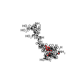 NC(=O)C[C@H](NC(=O)[C@H](CO)NC(=O)[C@H](CC(=O)O)NC(=O)[C@H](CO)NC(=O)CNC(=O)[C@H](CO)NC(=O)CNC(=O)[C@H](CC(=O)O)NC(=O)[C@H](CC(N)=O)NC(=O)[C@H](CO)NC(=O)[C@H](CC(=O)O)NC(=O)[C@H](CO)NC(=O)[C@H](CC(=O)O)NC(=O)[C@H](CC(N)=O)NC(=O)[C@H](CO)NC(=O)[C@H](CC(=O)O)NC(=O)[C@H](CO)NC(=O)CNC(=O)[C@@H](N)CO)C(=O)N[C@@H](CC(=O)O)C(=O)NCC(=O)O